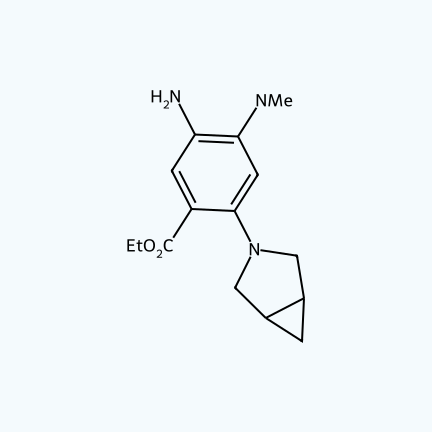 CCOC(=O)c1cc(N)c(NC)cc1N1CC2CC2C1